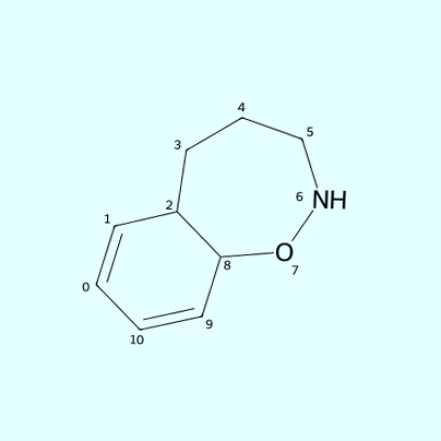 C1=CC2CCCNOC2C=C1